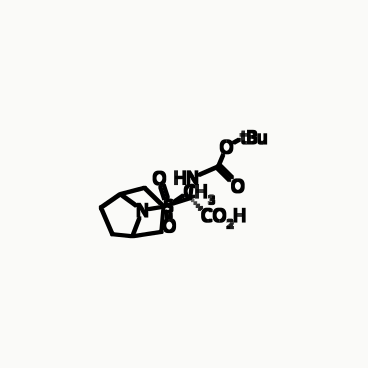 CC(C)(C)OC(=O)N[C@H](C(=O)O)C1CC2CCC(C1)N2S(C)(=O)=O